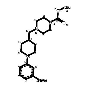 CNc1cccc(N2CCC(CN3CCN(C(=O)OC(C)(C)C)CC3)CC2)c1